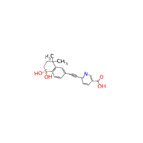 CC1(C)CCS(O)(O)c2ccc(C#Cc3ccc(C(=O)O)cn3)cc21